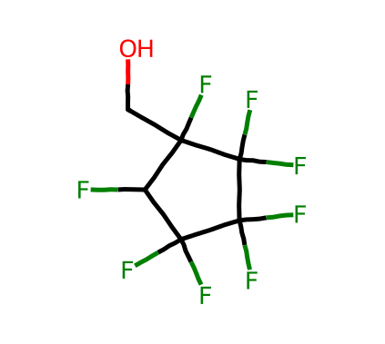 OCC1(F)C(F)C(F)(F)C(F)(F)C1(F)F